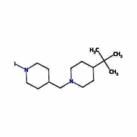 CC(C)(C)C1CCN(CC2CCN(I)CC2)CC1